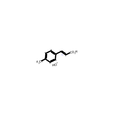 Cl.O=C(O)/C=C/c1ccc(C(F)(F)F)cc1